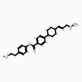 CCCc1ccc(OC(=O)c2ccc(C3CCC(C=CCOC)CC3)cc2)cc1